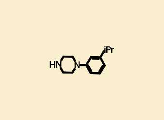 CC(C)c1cccc(N2CCNCC2)c1